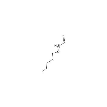 C=C[SiH2]OCCCCC